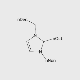 CCCCCCCCCCCN1C=CN(CCCCCCCCC)C1CCCCCCCC